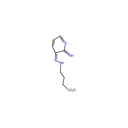 CCOC(=O)CCCN/N=C1/C=CC=NC1=N